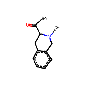 CC(C)C(=O)C1Cc2ccccc2CN1C(C)C